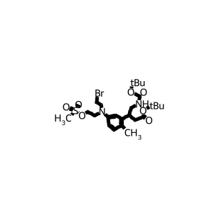 Cc1ccc(N(CCBr)CCOS(C)(=O)=O)cc1C(CNC(=O)OC(C)(C)C)CC(=O)OC(C)(C)C